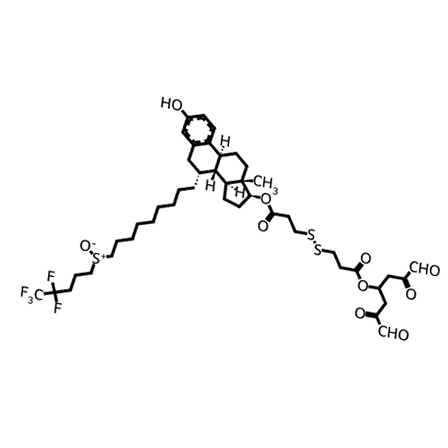 C[C@]12CC[C@@H]3c4ccc(O)cc4C[C@@H](CCCCCCCCC[S+]([O-])CCCC(F)(F)C(F)(F)F)[C@H]3[C@@H]1CC[C@@H]2OC(=O)CCSSCCC(=O)OC(CC(=O)C=O)CC(=O)C=O